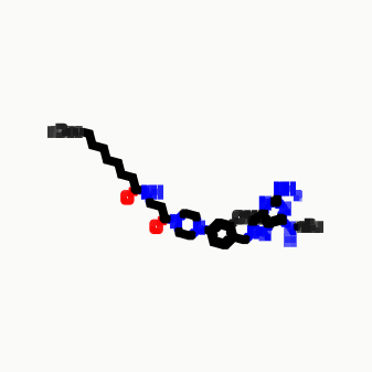 CCCCCCCCCCCCCCCCCC(=O)NCCC(=O)N1CCN(c2ccc(Cn3cc4nc(N)nc(NCCCC)c4n3)c(OC)c2)CC1